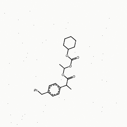 CC(C)Cc1ccc(C(C)C(=O)OC(C)OC(=O)OC2CCCCC2)cc1